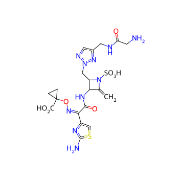 C=C1C(NC(=O)/C(=N\OC2(C(=O)O)CC2)c2csc(N)n2)C(Cn2ncc(CNC(=O)CN)n2)N1S(=O)(=O)O